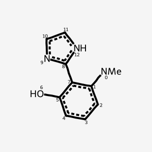 CNc1cccc(O)c1-c1ncc[nH]1